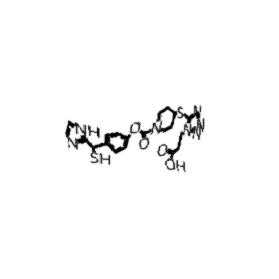 O=C(O)CCn1nnnc1SC1CCN(C(=O)Oc2ccc(C(S)c3ncc[nH]3)cc2)CC1